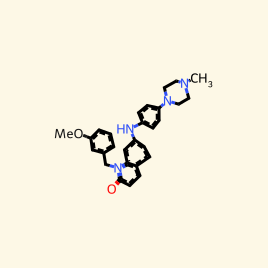 COc1cccc(Cn2c(=O)ccc3ccc(Nc4ccc(N5CCN(C)CC5)cc4)cc32)c1